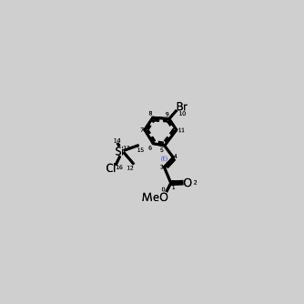 COC(=O)/C=C/c1cccc(Br)c1.C[Si](C)(C)Cl